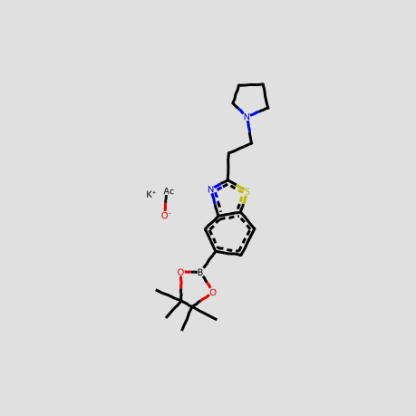 CC(=O)[O-].CC1(C)OB(c2ccc3sc(CCN4CCCC4)nc3c2)OC1(C)C.[K+]